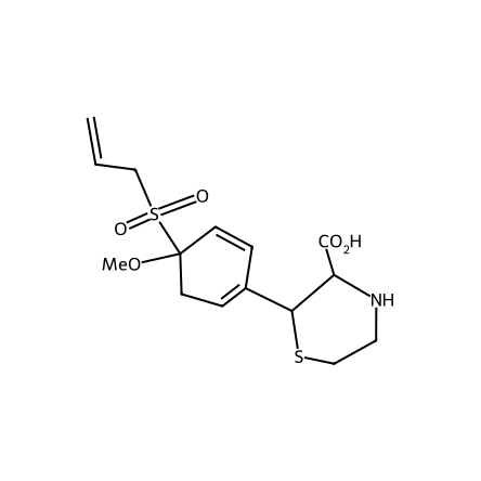 C=CCS(=O)(=O)C1(OC)C=CC(C2SCCNC2C(=O)O)=CC1